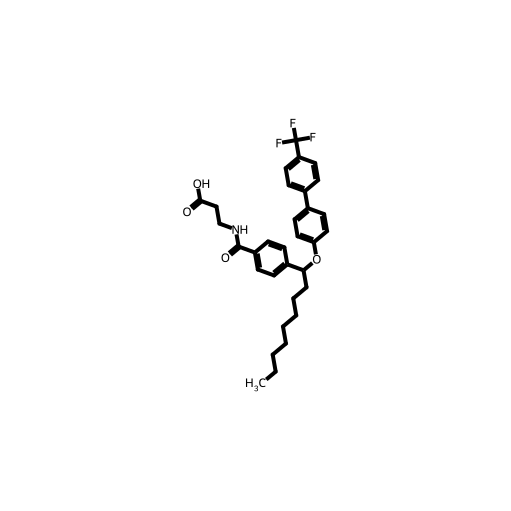 CCCCCCCCC(Oc1ccc(-c2ccc(C(F)(F)F)cc2)cc1)c1ccc(C(=O)NCCC(=O)O)cc1